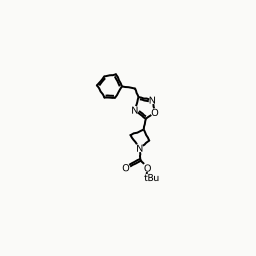 CC(C)(C)OC(=O)N1CC(c2nc(Cc3ccccc3)no2)C1